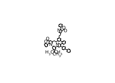 CC(C)(C)c1cccc(-c2cc(-c3ccc(-c4ccccc4)cc3)c(-c3ccccc3-c3cc(CCc4cnc5c(c4)c(=O)oc4ccccc45)cc(CCc4cnc5c(c4)c(=O)oc4ccccc45)c3)cn2)c1